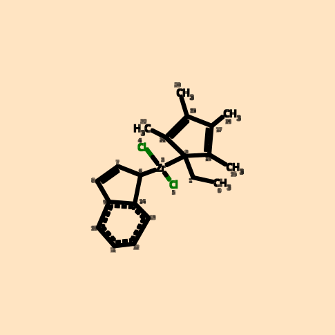 CC[C]1([Zr]([Cl])([Cl])[CH]2C=Cc3ccccc32)C(C)=C(C)C(C)=C1C